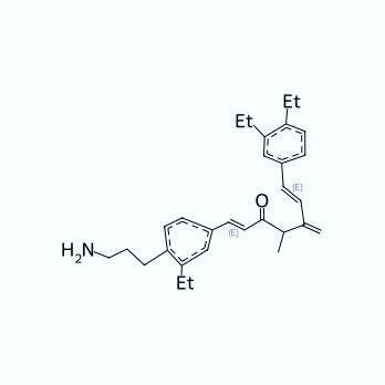 C=C(/C=C/c1ccc(CC)c(CC)c1)C(C)C(=O)/C=C/c1ccc(CCCN)c(CC)c1